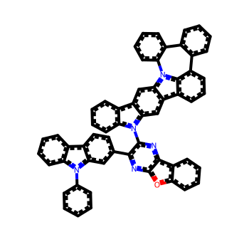 c1ccc(-n2c3ccccc3c3ccc(-c4nc5oc6ccccc6c5nc4-n4c5ccccc5c5cc6c(cc54)c4cccc5c4n6-c4ccccc4-c4ccccc4-5)cc32)cc1